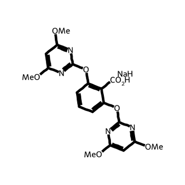 COc1cc(OC)nc(Oc2cccc(Oc3nc(OC)cc(OC)n3)c2C(=O)O)n1.[NaH]